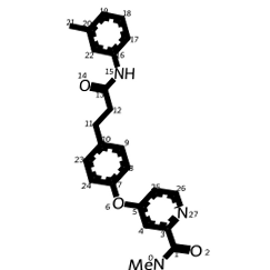 CNC(=O)c1cc(Oc2ccc(CCC(=O)Nc3cccc(C)c3)cc2)ccn1